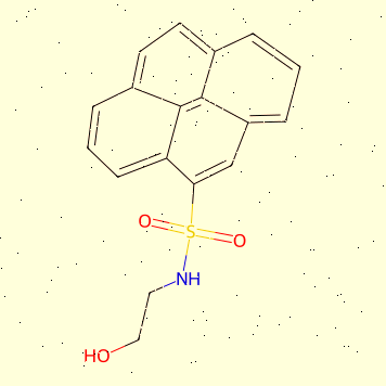 O=S(=O)(NCCO)c1cc2cccc3ccc4cccc1c4c32